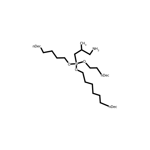 CCCCCCCCCCCCCCCCO[Si](CC(C)CN)(OCCCCCCCCCCCC)OCCCCCCCCCCCCCC